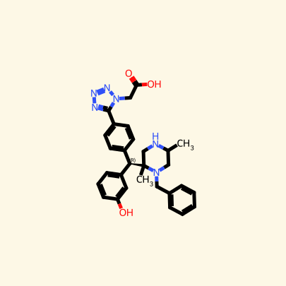 CC1CN(Cc2ccccc2)C(C)([C@H](c2ccc(-c3nnnn3CC(=O)O)cc2)c2cccc(O)c2)CN1